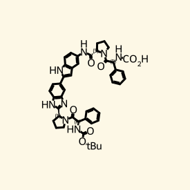 CC(C)(C)OC(=O)N[C@@H](C(=O)N1CCC[C@H]1c1nc2cc(-c3cc4cc(NC(=O)[C@@H]5CCCN5C(=O)[C@H](NC(=O)O)c5ccccc5)ccc4[nH]3)ccc2[nH]1)c1ccccc1